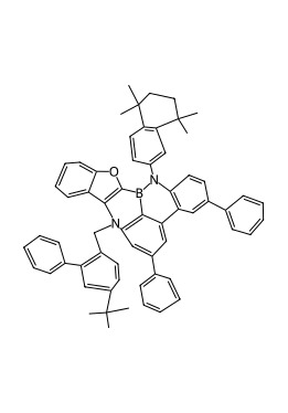 CC(C)(C)c1ccc(CN2c3cc(-c4ccccc4)cc4c3B(c3oc5ccccc5c32)N(c2ccc3c(c2)C(C)(C)CCC3(C)C)c2ccc(-c3ccccc3)cc2-4)c(-c2ccccc2)c1